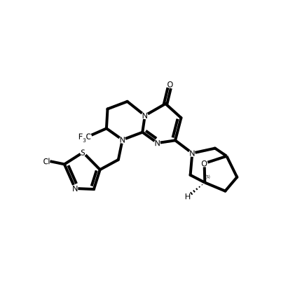 O=c1cc(N2CC3CC[C@@H](C2)O3)nc2n1CCC(C(F)(F)F)N2Cc1cnc(Cl)s1